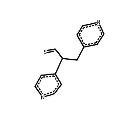 S=[C]C(Cc1ccncc1)c1ccncc1